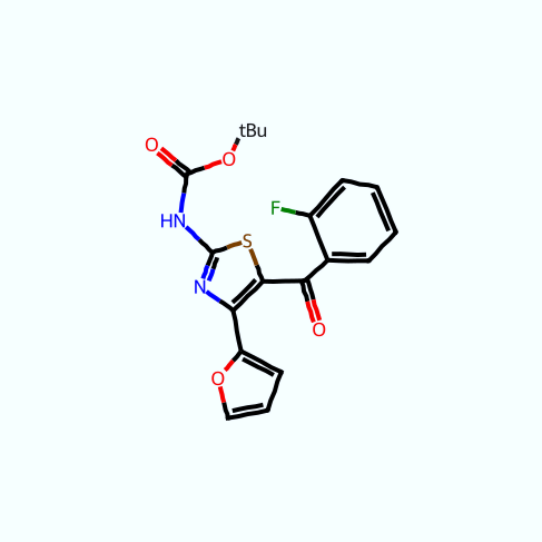 CC(C)(C)OC(=O)Nc1nc(-c2ccco2)c(C(=O)c2ccccc2F)s1